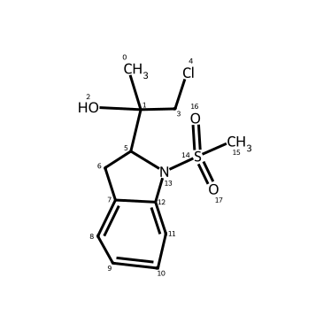 CC(O)(CCl)C1Cc2ccccc2N1S(C)(=O)=O